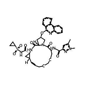 Cc1cc(C(=O)N[C@H]2CCCCC/C=C\[C@@H]3C[C@@]3(C(=O)NS(=O)(=O)C3CC3)NC(=O)[C@@H]3C[C@@H](Oc4nc5ccccc5c5ccccc45)CN3C2=O)nn1C